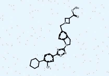 CC(C)(C)OC(=O)C1CN(Cc2ccc3c(c2)CCN3c2noc(-c3ccc(C4CCCCC4)c(C(F)(F)F)c3)n2)C1